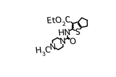 CCOC(=O)c1c(NC(=O)N2CCN(C)CC2)sc2c1CCC2